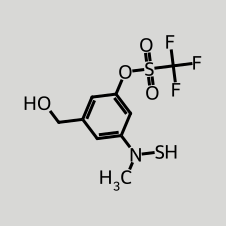 CN(S)c1cc(CO)cc(OS(=O)(=O)C(F)(F)F)c1